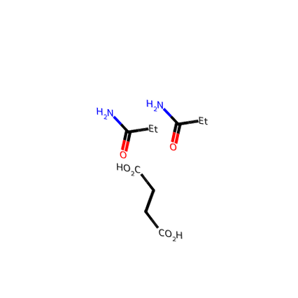 CCC(N)=O.CCC(N)=O.O=C(O)CCC(=O)O